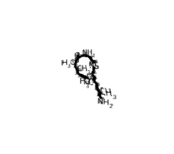 CC(/C=C/C(C)=C/C1Cc2nc(cs2)CCC(N)CC(=O)OC(C)C/C(C)=C/C=C\C(=O)O1)=C\CN